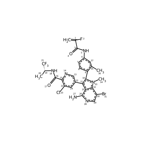 C=C(F)C(=O)Nc1ccc(-c2c(-c3cnc(C(=O)N[C@H](C)C(F)(F)F)c(Cl)c3)c3c(N)ncc(Br)c3n2C)c(C)c1